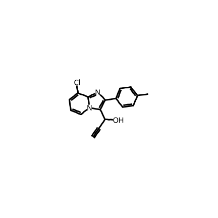 C#CC(O)c1c(-c2ccc(C)cc2)nc2c(Cl)cccn12